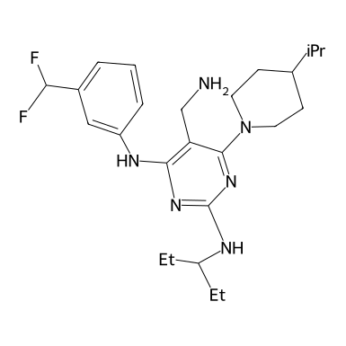 CCC(CC)Nc1nc(Nc2cccc(C(F)F)c2)c(CN)c(N2CCC(C(C)C)CC2)n1